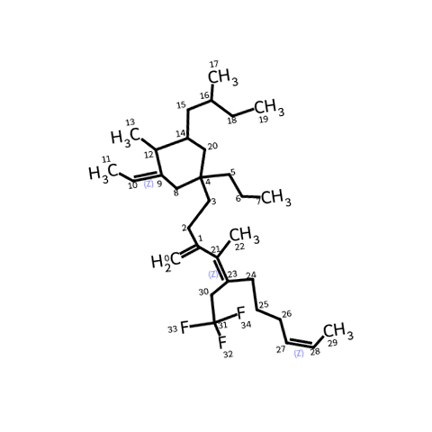 C=C(CCC1(CCC)C/C(=C/C)C(C)C(CC(C)CC)C1)/C(C)=C(/CCC/C=C\C)CC(F)(F)F